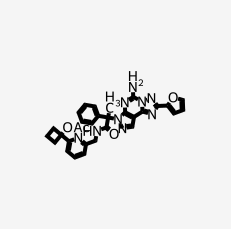 CC(=O)OC1(c2cccc(CNC(=O)C(C)(c3ccccc3)n3ncc4c3nc(N)n3nc(-c5ccco5)nc43)n2)CCC1